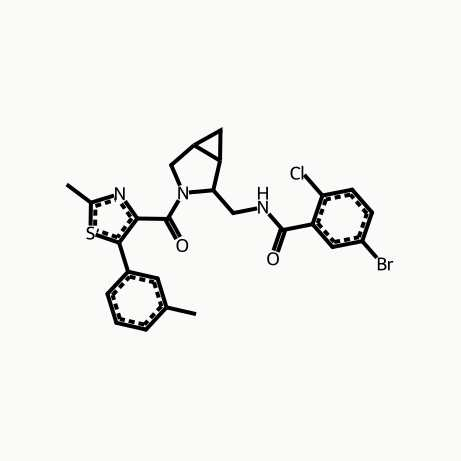 Cc1cccc(-c2sc(C)nc2C(=O)N2CC3CC3C2CNC(=O)c2cc(Br)ccc2Cl)c1